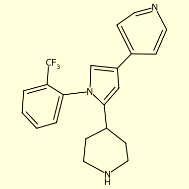 FC(F)(F)c1ccccc1-n1cc(-c2ccncc2)cc1C1CCNCC1